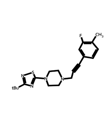 Cc1ccc(C#CCN2CCN(c3nc(C(C)(C)C)ns3)CC2)cc1F